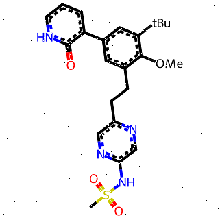 COc1c(CCc2cnc(NS(C)(=O)=O)cn2)cc(-c2ccc[nH]c2=O)cc1C(C)(C)C